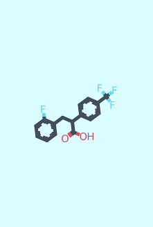 O=C(O)C(Cc1ccccc1F)c1ccc(C(F)(F)F)cc1